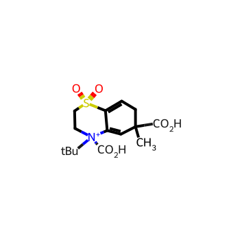 CC1(C(=O)O)C=C2C(=CC1)S(=O)(=O)CC[N+]2(C(=O)O)C(C)(C)C